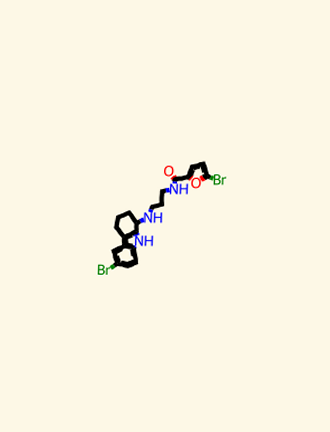 O=C(NCCCNC1CCCc2c1[nH]c1ccc(Br)cc21)c1ccc(Br)o1